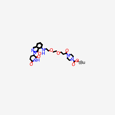 CC(C)(C)OC(=O)N1CCN(C(=O)CCOCCOCCNc2cccc3cnn(C4CCC(=O)NC4=O)c(=O)c23)CC1